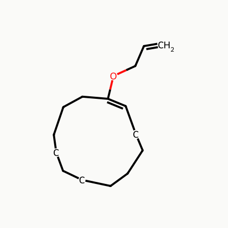 C=CCOC1=CCCCCCCCCCC1